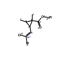 CCCOC(=O)C1(C)C(C)C1/C=C(\Cl)Br